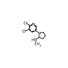 CNC1CCCN1c1cnc(Cl)c(Cl)c1